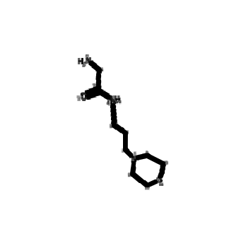 NCC(=O)NCCCN1CCOCC1